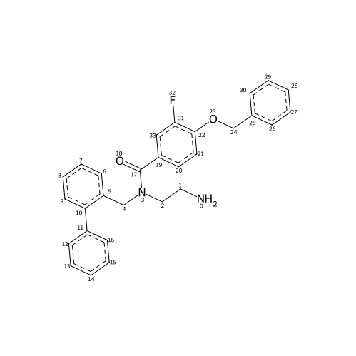 NCCN(Cc1ccccc1-c1ccccc1)C(=O)c1ccc(OCc2ccccc2)c(F)c1